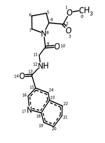 COC(=O)C1CCCN1C(=O)CNC(=O)c1cnc2ccccc2c1